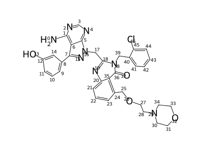 Nc1ncnc2c1c(-c1cccc(O)c1)nn2Cc1nc2cccc(COCCN3CCOCC3)c2c(=O)n1Cc1ccccc1Cl